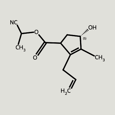 C=CCC1=C(C)[C@@H](O)CC1C(=O)OC(C)C#N